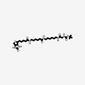 CC(C)(C)OC(=O)NCC(=O)NCCCCCCNC(=O)CCCCCNC(=O)CCCCC1SCC2NC(=O)NC21